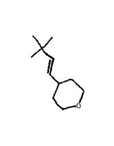 CC(C)(C)/C=C/C1CCOCC1